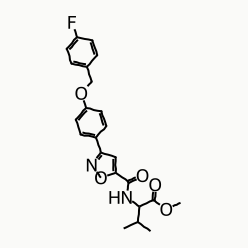 COC(=O)C(NC(=O)c1cc(-c2ccc(OCc3ccc(F)cc3)cc2)no1)C(C)C